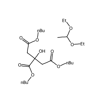 CCCCOC(=O)CC(O)(CC(=O)OCCCC)C(=O)OCCCC.CCOC(C)OCC